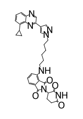 O=C1CCC(N2C(=O)c3cccc(NCCCCCCn4cc(-c5cnc6cccc(C7CC7)c6n5)cn4)c3C2=O)C(=O)N1